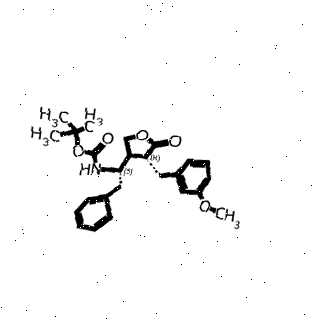 COc1cccc(C[C@H]2C(=O)OCC2[C@H](Cc2ccccc2)NC(=O)OC(C)(C)C)c1